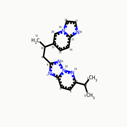 CC(C)c1ccc2nc(CC(C)c3ccc4nccn4c3)nn2n1